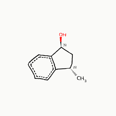 C[C@H]1C[C@H](O)c2ccccc21